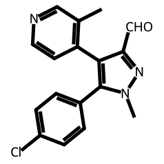 Cc1cnccc1-c1c(C=O)nn(C)c1-c1ccc(Cl)cc1